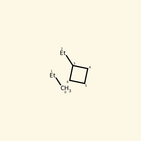 CCC.CCC1CCC1